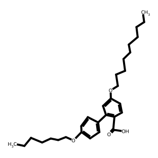 CCCCCCCCCCOc1ccc(C(=O)O)c(-c2ccc(OCCCCCCC)cc2)c1